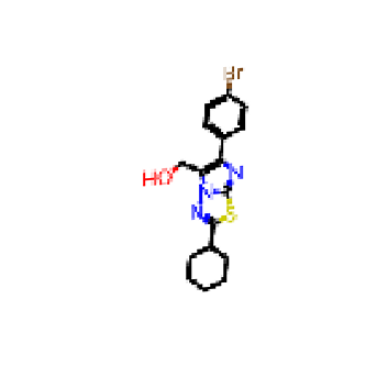 OCc1c(-c2ccc(Br)cc2)nc2sc(C3CCCCC3)nn12